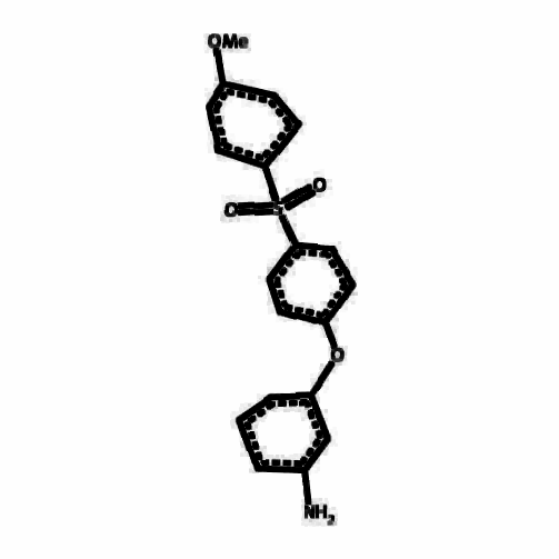 COc1ccc(S(=O)(=O)c2ccc(Oc3cccc(N)c3)cc2)cc1